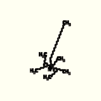 CCCCCCCCCCCCCCCCCCCCCCCC#CC1=C(c2cc(CCCCC)cc(CCCCC)c2)[N+](=[N-])C(c2cc(CCCC)cc(CCCC)c2)=C1CCCCC